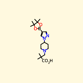 CC(C)(CN1CCC(n2cc(B3OC(C)(C)C(C)(C)O3)cn2)CC1)C(=O)O